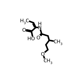 C/C=C(/NC(=O)CC(C)CCOC)C(=O)O